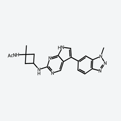 CC(=O)NC1(C)CC(Nc2ncc3c(-c4ccc5nnn(C)c5c4)c[nH]c3n2)C1